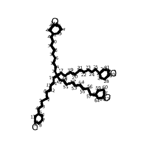 C(CCCCC1CCC2OC2C1)CCCCC(CCCCCCCCCC1CCC2OC2C1)(CCCCCCCCCC1CCC2OC2C1)CCCCCCCCCC1CCC2OC2C1